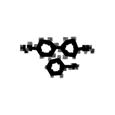 CC(C)c1ccccc1.Nc1ccc(-c2ccc(N)cc2)cc1